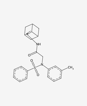 Cc1cccc(N(CC(=O)NC2=C3C4CC(C2)CC3C4)S(=O)(=O)c2ccccc2)c1